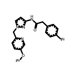 CC(C)Oc1ccc(Cn2ccc(NC(=O)Cc3ccc(C(C)C)cc3)n2)nc1